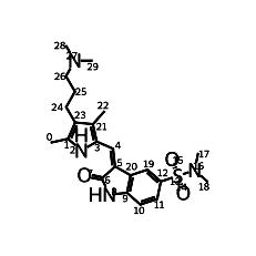 Cc1[nH]c(C=C2C(=O)Nc3ccc(S(=O)(=O)N(C)C)cc32)c(C)c1CCCN(C)C